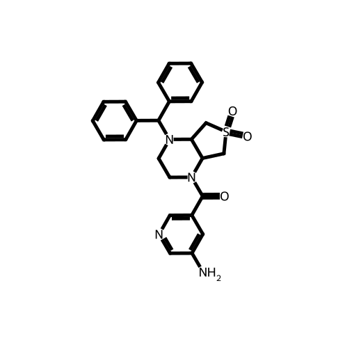 Nc1cncc(C(=O)N2CCN(C(c3ccccc3)c3ccccc3)C3CS(=O)(=O)CC32)c1